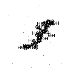 O=C(O)c1nn(-c2ccc3c(O)c(/N=N/c4cc(OCCO)c(/N=N/c5ccc6c(S(=O)(=O)O)cccc6c5S(=O)(=O)O)cc4OCCO)c(S(=O)(=O)O)cc3c2)c(O)c1/N=N/c1ccc(S(=O)(=O)O)cc1